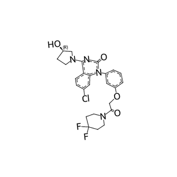 O=C(COc1cccc(-n2c(=O)nc(N3CC[C@@H](O)C3)c3ccc(Cl)cc32)c1)N1CCC(F)(F)CC1